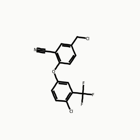 N#Cc1cc(CCl)ccc1Oc1ccc(Cl)c(C(F)(F)F)c1